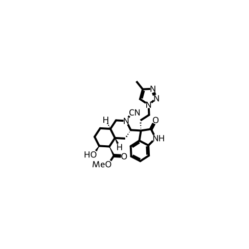 COC(=O)[C@@H]1[C@H]2C[C@@H]([C@@]3(CCn4cc(C)nn4)C(=O)Nc4ccccc43)N(C#N)C[C@@H]2CC[C@@H]1O